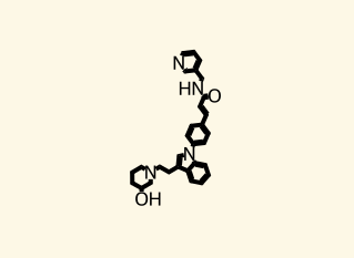 O=C(/C=C/c1ccc(-n2cc(CCN3CCCC(O)C3)c3ccccc32)cc1)NCc1cccnc1